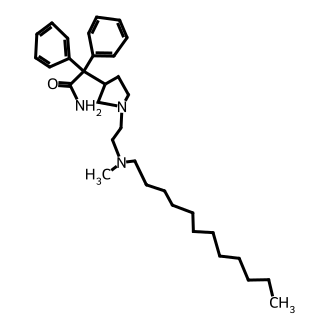 CCCCCCCCCCCCN(C)CCN1CCC(C(C(N)=O)(c2ccccc2)c2ccccc2)C1